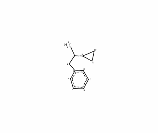 C[C](Cc1ccccc1)C1CC1